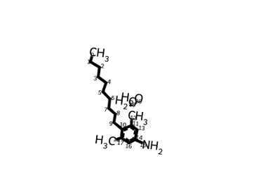 CCCCCCCCCCc1c(C)cc(N)cc1C.O.O